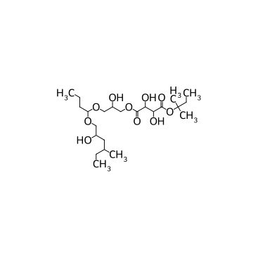 CCCC(OCC(O)COC(=O)C(O)C(O)C(=O)OC(C)(C)CC)OCC(O)CC(C)CC